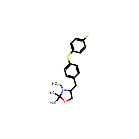 CC1(C)OCC(Cc2ccc(Sc3ccc(F)cc3)cc2)N1C(=O)O